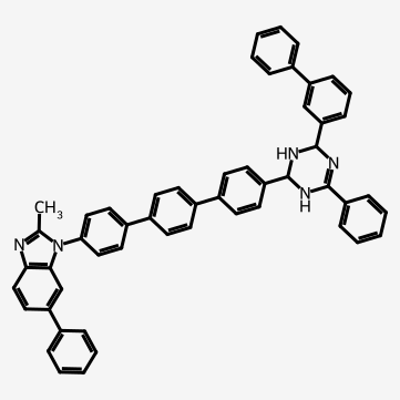 Cc1nc2ccc(-c3ccccc3)cc2n1-c1ccc(-c2ccc(-c3ccc(C4NC(c5ccccc5)=NC(c5cccc(-c6ccccc6)c5)N4)cc3)cc2)cc1